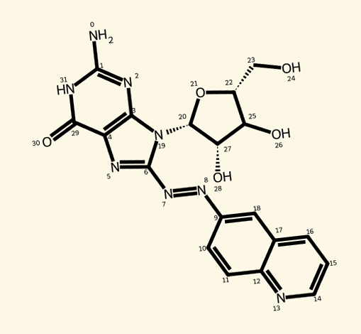 Nc1nc2c(nc(/N=N/c3ccc4ncccc4c3)n2[C@@H]2O[C@H](CO)C(O)[C@@H]2O)c(=O)[nH]1